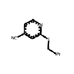 CC(C)CSc1cc(C#N)ccn1